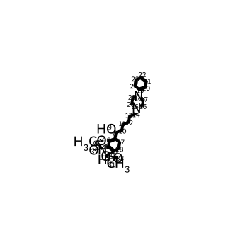 CS(=O)(=O)Nc1cc(C(O)CCCCCN2CCN(c3ccccc3)CC2)ccc1S(C)(=O)=O